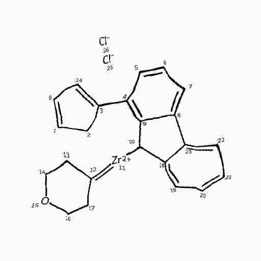 C1=CCC(c2cccc3c2[CH]([Zr+2]=[C]2CCOCC2)c2ccccc2-3)=C1.[Cl-].[Cl-]